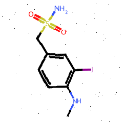 CNc1ccc(CS(N)(=O)=O)cc1I